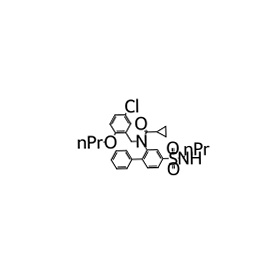 CCCNS(=O)(=O)c1ccc(-c2ccccc2)c(N(Cc2cc(Cl)ccc2OCCC)C(=O)C2CC2)c1